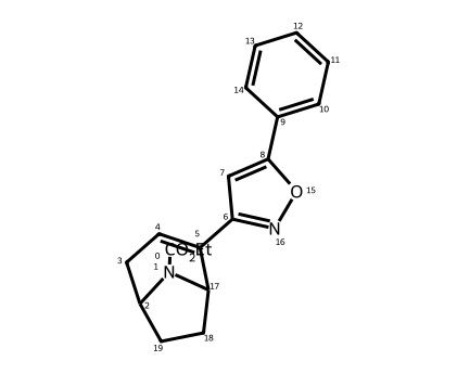 CCOC(=O)N1C2CC=C(c3cc(-c4ccccc4)on3)C1CC2